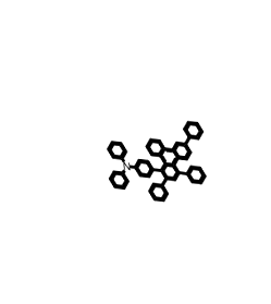 c1ccc(-c2ccc3c(c2)c2ccccc2c2c(-c4ccc(N(c5ccccc5)c5ccccc5)cc4)c(-c4ccccc4)cc(-c4ccccc4)c32)cc1